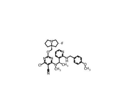 COc1ccc(CNc2ncccc2[C@@H](C)N(C)c2nc(OC[C@@]34CCCN3C[C@H](F)C4)nc(Cl)c2C#N)cc1